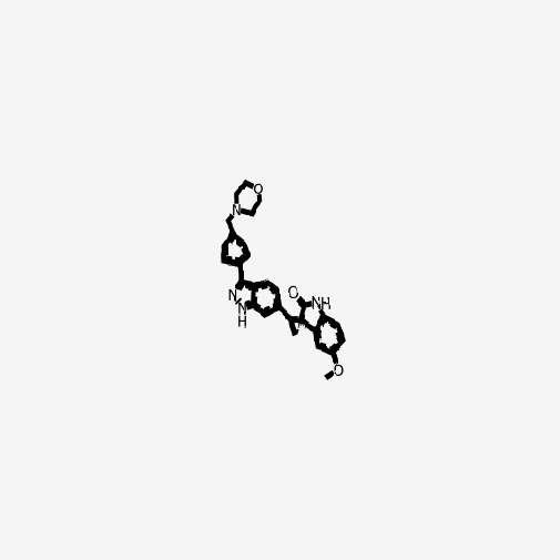 COc1ccc2c(c1)[C@]1(CC1c1ccc3c(-c4ccc(CN5CCOCC5)cc4)n[nH]c3c1)C(=O)N2